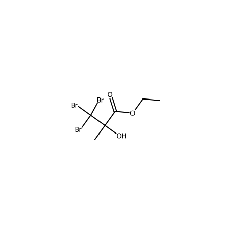 CCOC(=O)C(C)(O)C(Br)(Br)Br